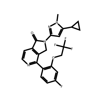 Cn1nc(N2Cc3c(ccnc3-c3ccc(F)cc3OCC(F)(F)F)C2=O)cc1C1CC1